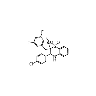 N#CC1(Cc2cc(F)cc(F)c2)C(c2ccc(Cl)cc2)Nc2ccccc2S1(=O)=O